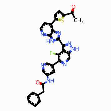 CC(=O)c1ccc(-c2ccnc3[nH]c(-c4n[nH]c5cnc(-c6cncc(NC(=O)Cc7ccccc7)c6)c(F)c45)nc23)s1